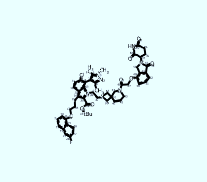 Cc1nn(C)c(C)c1-c1c(Cl)ccc2c(CCCOc3cccc4cc(F)ccc34)c(C(=O)OC(C)(C)C)n(CCN3CC4(CCCN(C(=O)COc5cccc6c5CN(C5CCC(=O)NC5=O)C6=O)C4)C3)c12